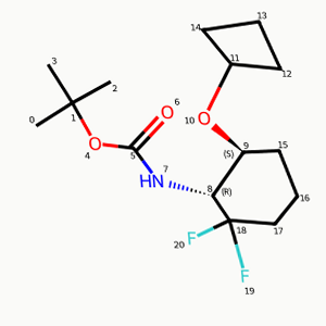 CC(C)(C)OC(=O)N[C@@H]1[C@@H](OC2CCC2)CCCC1(F)F